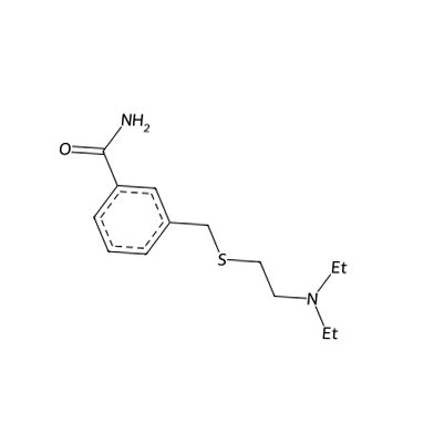 CCN(CC)CCSCc1cccc(C(N)=O)c1